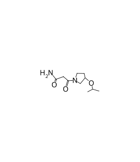 CC(C)OC1CCN(C(=O)CC(N)=O)C1